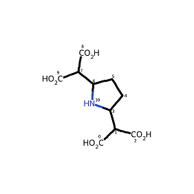 O=C(O)C(C(=O)O)C1CCC(C(C(=O)O)C(=O)O)N1